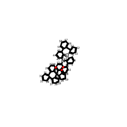 c1ccc(-c2ccccc2N(c2ccc3c(c2)-c2ccccc2C32c3ccccc3-c3ccccc3-c3ccccc32)c2cccc3c2Oc2ccccc2-c2ccccc2-3)cc1